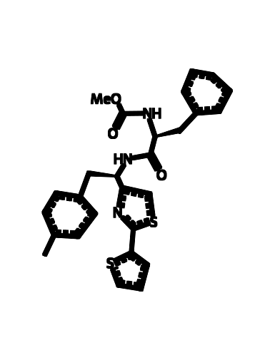 COC(=O)N[C@@H](Cc1ccccc1)C(=O)N[C@H](Cc1ccc(C)cc1)c1csc(-c2cccs2)n1